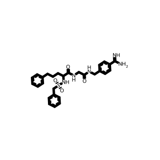 N=C(N)c1ccc(CNC(=O)CNC(=O)C(CCCc2ccccc2)NS(=O)(=O)Cc2ccccc2)cc1